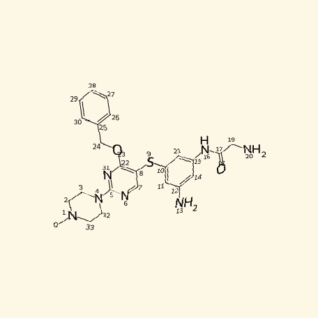 CN1CCN(c2ncc(Sc3cc(N)cc(NC(=O)CN)c3)c(OCc3ccccc3)n2)CC1